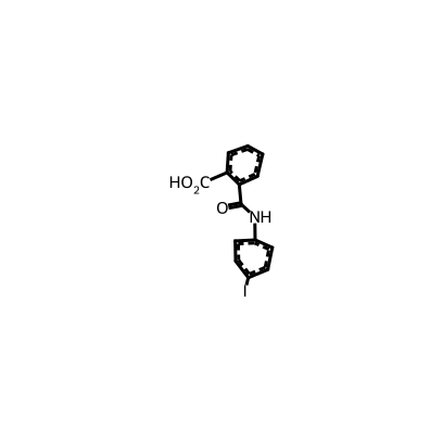 O=C(O)c1ccccc1C(=O)Nc1ccc(I)cc1